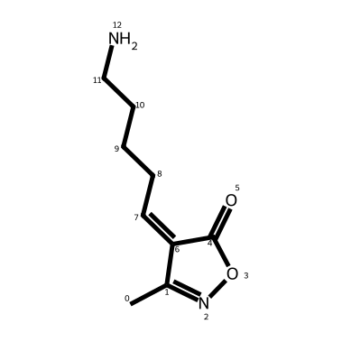 CC1=NOC(=O)C1=CCCCCN